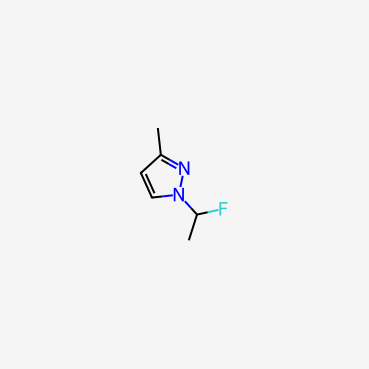 Cc1ccn(C(C)F)n1